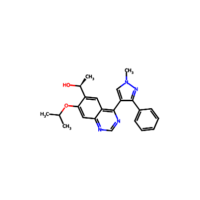 CC(C)Oc1cc2ncnc(-c3cn(C)nc3-c3ccccc3)c2cc1[C@H](C)O